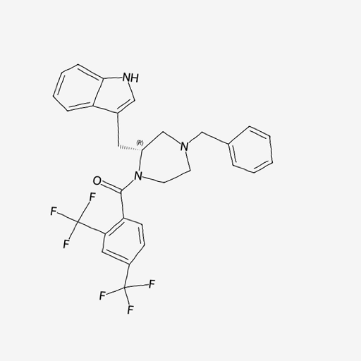 O=C(c1ccc(C(F)(F)F)cc1C(F)(F)F)N1CCN(Cc2ccccc2)C[C@H]1Cc1c[nH]c2ccccc12